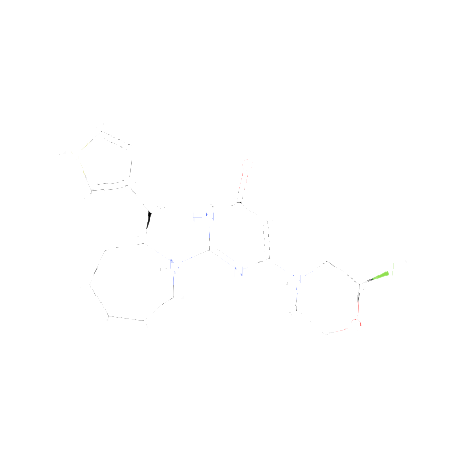 O=c1cc(N2CCO[C@H](F)C2)nc(N2CCCCC[C@H]2Cc2ccsc2)[nH]1